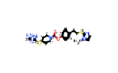 Cn1ccnc1SCCc1ccc(OC(=O)N2CCC(Sc3nc[nH]n3)CC2)cc1